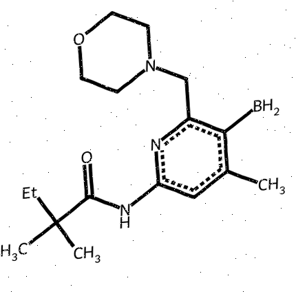 Bc1c(C)cc(NC(=O)C(C)(C)CC)nc1CN1CCOCC1